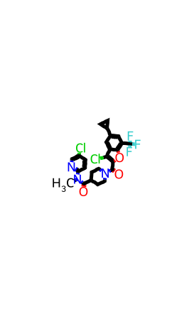 CN(C(=O)C1CCN(C(=O)c2oc3c(C(F)(F)F)cc(C4CC4)cc3c2Cl)CC1)c1ccc(Cl)cn1